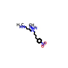 CNCCC1=CN(CCCCc2ccc([N+](=O)[O-])cc2)NN1C